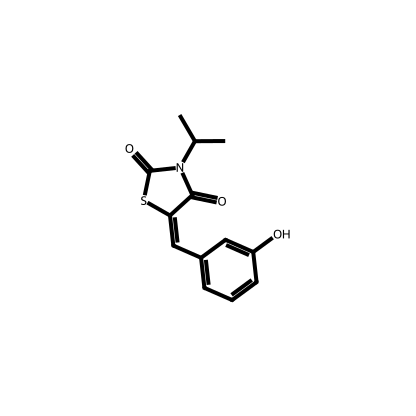 CC(C)N1C(=O)SC(=Cc2cccc(O)c2)C1=O